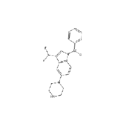 [O-][S+](c1ccccc1)n1cc(C(F)F)c2cc(N3CCNCC3)ccc21